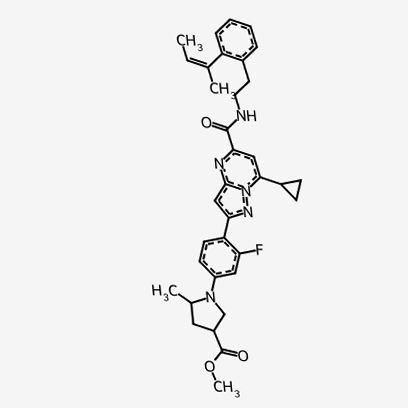 C/C=C(/C)c1ccccc1CCNC(=O)c1cc(C2CC2)n2nc(-c3ccc(N4CC(C(=O)OC)CC4C)cc3F)cc2n1